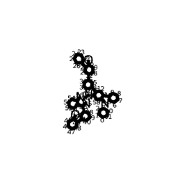 c1ccc(-n2c3ccccc3c3cc4c5cc(-c6ccc7oc8ccccc8c7c6)ccc5n(-c5nc(-c6cccc7c6oc6ccccc67)c6ccccc6n5)c4cc32)cc1